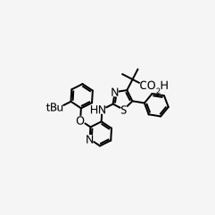 CC(C)(C)c1ccccc1Oc1ncccc1Nc1nc(C(C)(C)C(=O)O)c(-c2ccccc2)s1